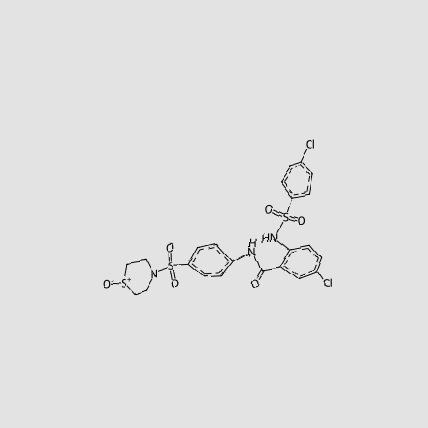 O=C(Nc1ccc(S(=O)(=O)N2CC[S+]([O-])CC2)cc1)c1cc(Cl)ccc1NS(=O)(=O)c1ccc(Cl)cc1